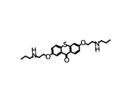 CCCNCCOc1ccc2c(=O)c3cc(OCCNCCC)ccc3sc2c1